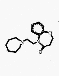 O=C1CCOc2ccccc2N1CCN1CCCCCC1